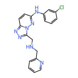 Clc1cccc(Nc2ccc3nnc(CNCc4ccccn4)n3n2)c1